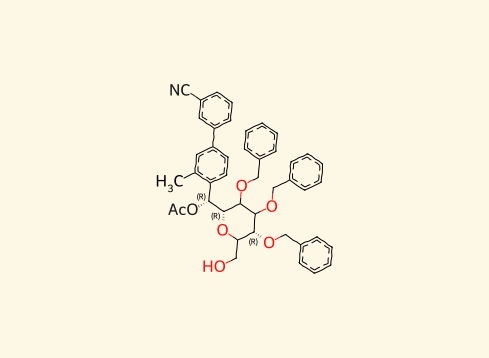 CC(=O)O[C@H](c1ccc(-c2cccc(C#N)c2)cc1C)[C@H]1OC(CO)[C@@H](OCc2ccccc2)C(OCc2ccccc2)C1OCc1ccccc1